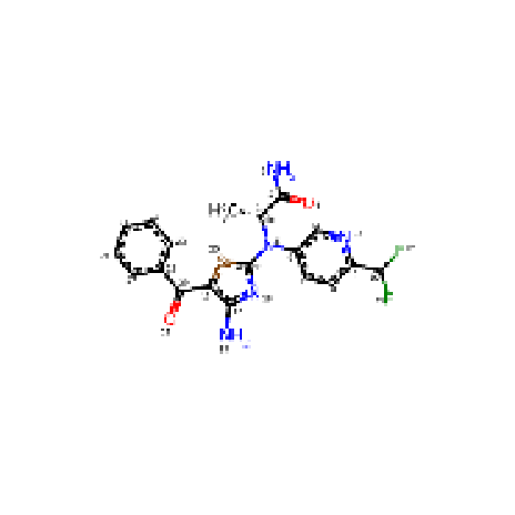 C[C@H](C(N)=O)N(c1ccc(C(F)F)nc1)c1nc(N)c(C(=O)c2ccccc2)s1